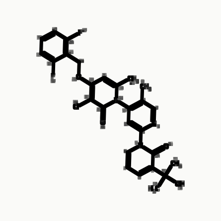 Cc1cnc(-n2cccc(C(C)(C)O)c2=O)cc1-n1c(C)cc(OCc2c(F)cccc2F)c(Cl)c1=O